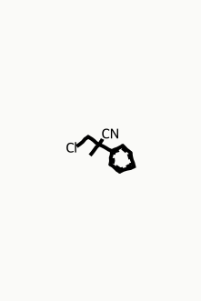 CC(C#N)(CCl)c1ccccc1